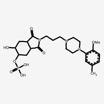 COc1ccc(C)cc1N1CCN(CCCN2C(=O)C3CC(O)C(OP(=O)(O)O)CC3C2=O)CC1